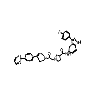 O=C(NC1C=Cc2[nH]nc(-c3ccc(F)cc3)c2C1)C1CCN(CC(=O)N2CC=C(c3ccc(-c4ncccn4)cc3)CC2)C1